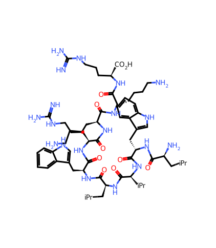 CC(C)C[C@H](NC(=O)[C@@H](NC(=O)[C@H](Cc1c[nH]c2ccccc12)NC(=O)[C@@H](N)CC(C)C)C(C)C)C(=O)N[C@@H](Cc1c[nH]c2ccccc12)C(=O)N[C@@H](CCCNC(=N)N)C(=O)N[C@@H](CCCCN)C(=O)N[C@@H](CCCCN)C(=O)N[C@@H](CCCNC(=N)N)C(=O)O